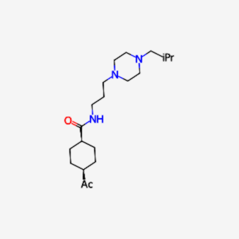 CC(=O)[C@H]1CC[C@@H](C(=O)NCCCN2CCN(CC(C)C)CC2)CC1